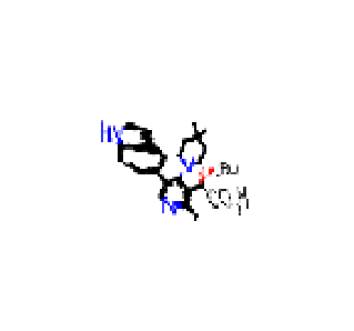 Cc1ncc(-c2ccc3[nH]ccc3c2)c(N2CCC(C)(C)CC2)c1[C@H](OC(C)(C)C)C(=O)O